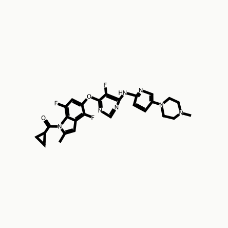 Cc1cc2c(F)c(Oc3ncnc(Nc4ccc(N5CCN(C)CC5)cn4)c3F)cc(F)c2n1C(=O)C1CC1